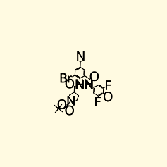 COc1c(F)cc(NC(=O)c2cc(C#N)cc(Br)c2NC(=O)C2CCN(C(=O)OC(C)(C)C)C2)cc1F